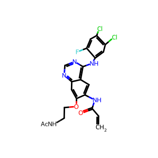 C=CC(=O)Nc1cc2c(Nc3cc(Cl)c(Cl)cc3F)ncnc2cc1OCCNC(C)=O